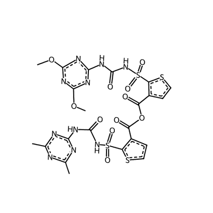 COc1nc(NC(=O)NS(=O)(=O)c2sccc2C(=O)OC(=O)c2ccsc2S(=O)(=O)NC(=O)Nc2nc(C)nc(C)n2)nc(OC)n1